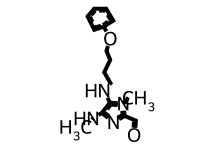 CNc1nc(C=O)n(C)c1NCCCCOc1ccccc1